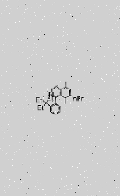 CCCC1=CC(C)c2ccnc(-c3ccccc3C(CC)(CC)CC)c2C1C